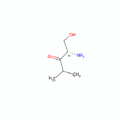 CC(C)C(=O)[C@@H](N)CO